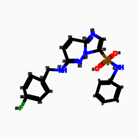 O=S(=O)(Nc1ccccc1)c1cnc2ccc(NCc3ccc(F)cc3)nn12